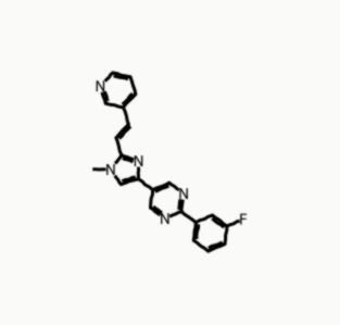 Cn1cc(-c2cnc(-c3cccc(F)c3)nc2)nc1C=Cc1cccnc1